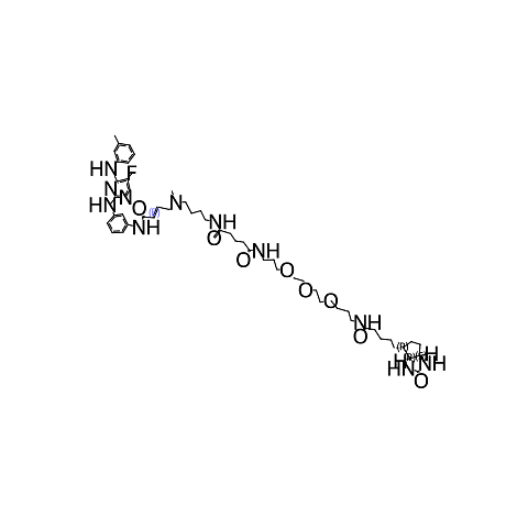 Cc1cccc(Nc2nc(Nc3cccc(NC(=O)/C=C/CN(C)CCCCNC(=O)CCCC(=O)NCCCOCCOCCOCCCNC(=O)CCCC[C@@H]4CC[C@@H]5NC(=O)N[C@H]45)c3)ncc2F)c1